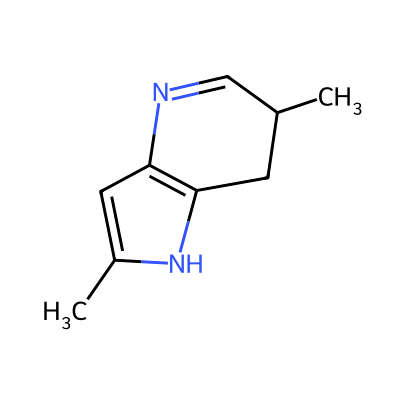 Cc1cc2c([nH]1)CC(C)C=N2